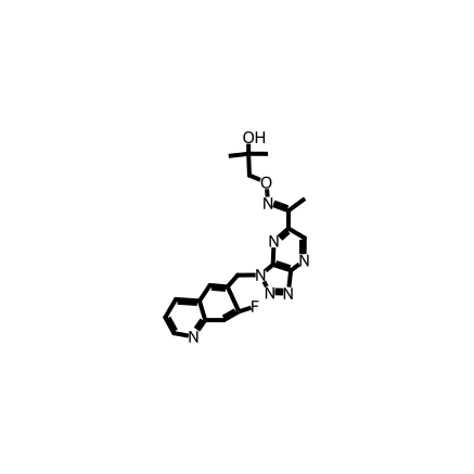 CC(=NOCC(C)(C)O)c1cnc2nnn(Cc3cc4cccnc4cc3F)c2n1